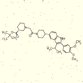 COc1ccc(-c2[nH]c3ccc(C4CCN(C(=O)CN5CCC[C@H](C(=O)OC(C)(C)C)C5)CC4)cc3c2C(C)C)cc1OC